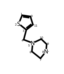 c1csc(CN2CC[N]CC2)c1